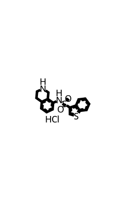 Cl.O=S(=O)(Nc1cccc2c1CNCC2)c1csc2ccccc12